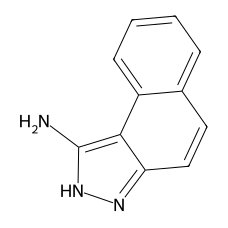 Nc1[nH]nc2ccc3ccccc3c12